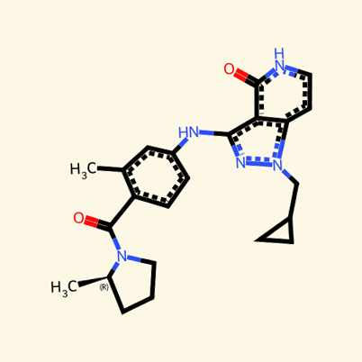 Cc1cc(Nc2nn(CC3CC3)c3cc[nH]c(=O)c23)ccc1C(=O)N1CCC[C@H]1C